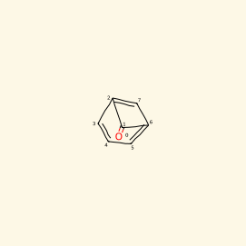 O=C1c2cccc1c2